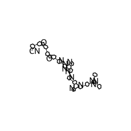 N#Cc1cccc(-c2ccc3oc4ccc(-c5ccc6oc7cc(-c8ccc(-c9cnc%10c%11nc(-c%12cccc(-c%13ccc%14c(c%13)c%13ncccc%13c%13ccc(-c%15ccc(-c%16nc(-c%17ccccc%17)nc(-c%17ccccc%17)n%16)cc%15)nc%13%14)n%12)ccc%11c%11cccnc%11c%10n9)nc8)ccc7c6c5)cc4c3c2)c1